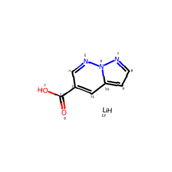 O=C(O)c1cnn2nccc2c1.[LiH]